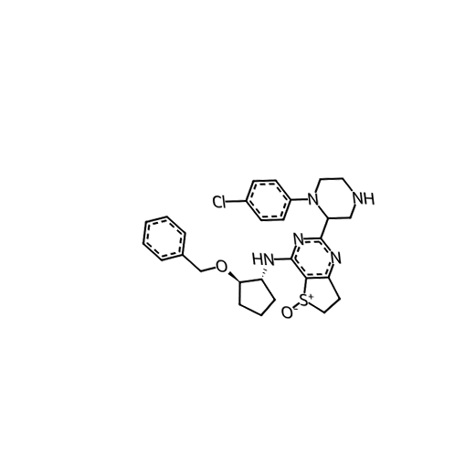 [O-][S+]1CCc2nc(C3CNCCN3c3ccc(Cl)cc3)nc(N[C@@H]3CCC[C@H]3OCc3ccccc3)c21